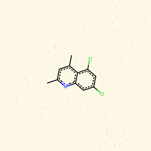 Cc1cc(C)c2c(Cl)cc(Cl)cc2n1